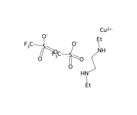 CCNCCNCC.O=S(=O)([O-])C(F)(F)F.O=S(=O)([O-])C(F)(F)F.[Cu+2]